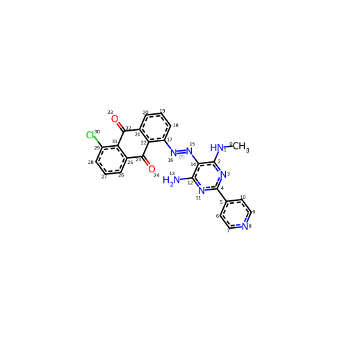 CNc1nc(-c2ccncc2)nc(N)c1/N=N/c1cccc2c1C(=O)c1cccc(Cl)c1C2=O